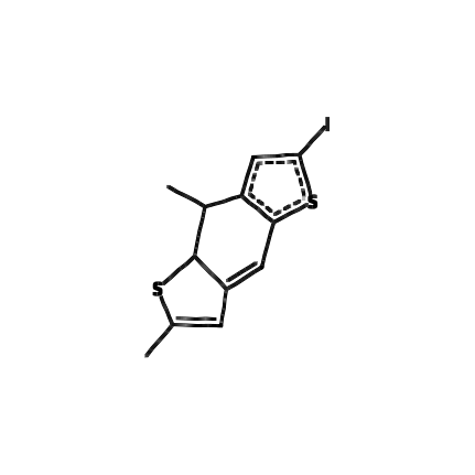 CC1=CC2=Cc3sc(I)cc3C(C)C2S1